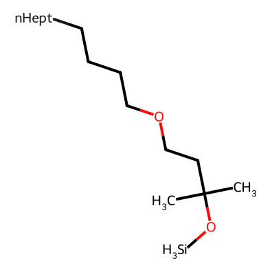 CCCCCCCCCCCOCCC(C)(C)O[SiH3]